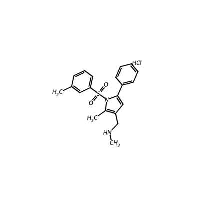 CNCc1cc(-c2ccccc2)n(S(=O)(=O)c2cccc(C)c2)c1C.Cl